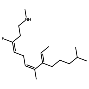 CC=C(CCCC(C)C)/C(C)=C\C/C=C(/F)CCNC